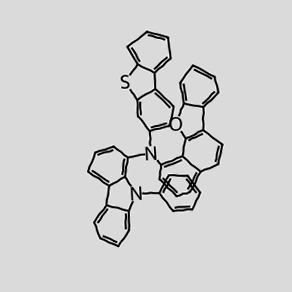 c1ccc(-n2c3ccccc3c3cccc(N(c4ccc5c(c4)sc4ccccc45)c4cccc5ccc6c7ccccc7oc6c45)c32)cc1